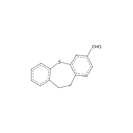 O=Cc1ccc2c(c1)Sc1ccccc1CC2